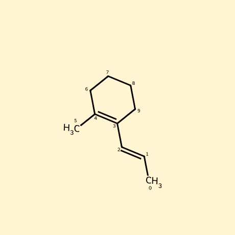 CC=CC1=C(C)CCCC1